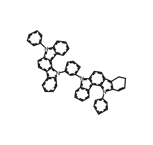 C1=Cc2c(c3ccc4c(c5ccccc5n4-c4cccc(-n5c6ccccc6c6ccc7c(c8ccccc8n7-c7ccccc7)c65)c4)c3n2-c2ccccc2)CC1